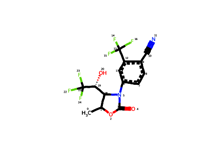 CC1OC(=O)N(c2ccc(C#N)c(C(F)(F)F)c2)C1[C@@H](O)C(F)(F)F